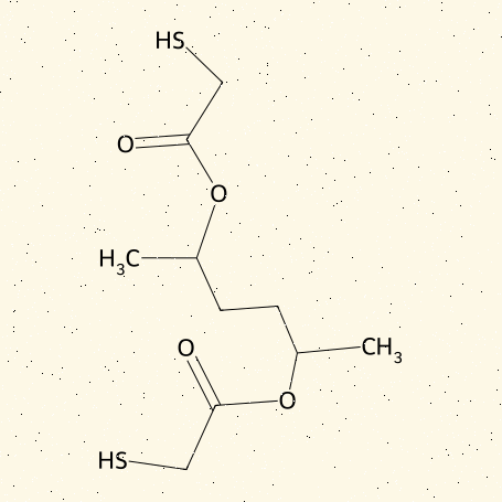 CC(CCC(C)OC(=O)CS)OC(=O)CS